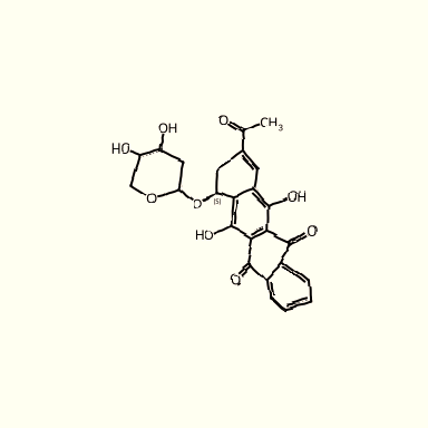 CC(=O)C1=Cc2c(O)c3c(c(O)c2[C@@H](OC2CC(O)C(O)CO2)C1)C(=O)c1ccccc1C3=O